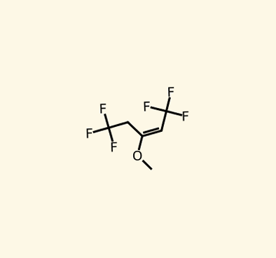 COC(=CC(F)(F)F)CC(F)(F)F